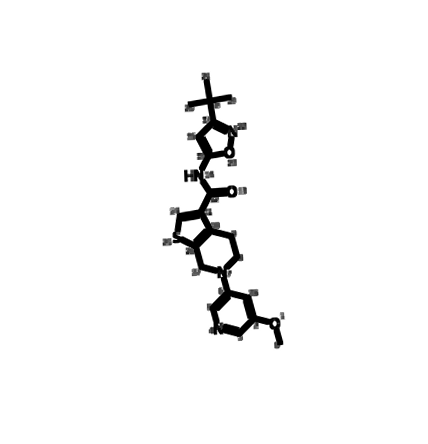 COc1cncc(N2CCc3c(C(=O)Nc4cc(C(C)(C)C)no4)csc3C2)c1